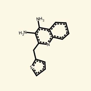 Nc1c(Cc2cccs2)nc2ccccc2c1N